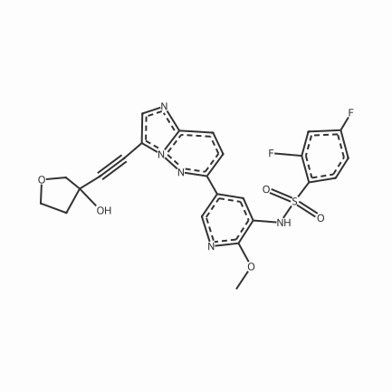 COc1ncc(-c2ccc3ncc(C#CC4(O)CCOC4)n3n2)cc1NS(=O)(=O)c1ccc(F)cc1F